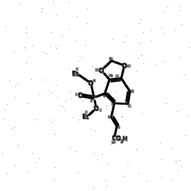 CCOP(=O)(OCC)c1c(C=CC(=O)O)ccc2c1OCO2